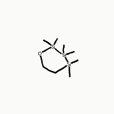 C[Si]1(C)CCO[Si](C)(C)[Si]1(C)C